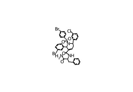 NC(=O)C(Cc1ccccc1)NC(=O)C1=CCC(c2cccc(Cl)c2)N(S(=O)(=O)c2ccc(Br)cc2)C1c1cccc(Br)c1